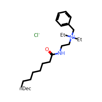 CCCCCCCCCCCCCCCCC(=O)NCC[N+](CC)(CC)Cc1ccccc1.[Cl-]